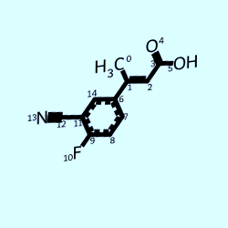 C/C(=C\C(=O)O)c1ccc(F)c(C#N)c1